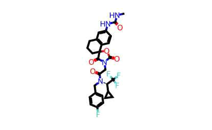 CNC(=O)Nc1ccc2c(c1)CCCC21OC(=O)N(CC(=O)N(Cc2ccc(F)cc2)[C@@H](C2CC2)C(F)(F)F)C1=O